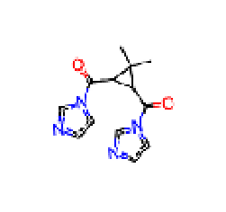 CC1(C)C(C(=O)n2ccnc2)C1C(=O)n1ccnc1